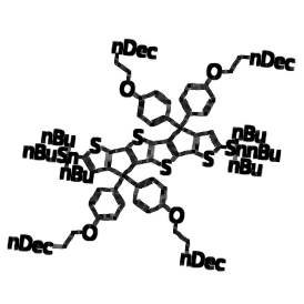 CCCCCCCCCCCCOc1ccc(C2(c3ccc(OCCCCCCCCCCCC)cc3)c3c[c]([Sn]([CH2]CCC)([CH2]CCC)[CH2]CCC)sc3-c3sc4c5c(sc4c32)-c2s[c]([Sn]([CH2]CCC)([CH2]CCC)[CH2]CCC)cc2C5(c2ccc(OCCCCCCCCCCCC)cc2)c2ccc(OCCCCCCCCCCCC)cc2)cc1